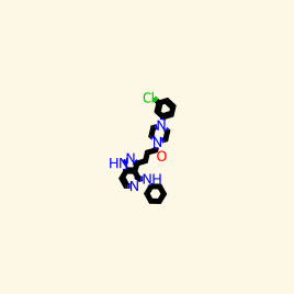 O=C(CCc1n[nH]c2ccnc(NC3CCCCC3)c12)N1CCN(c2cccc(Cl)c2)CC1